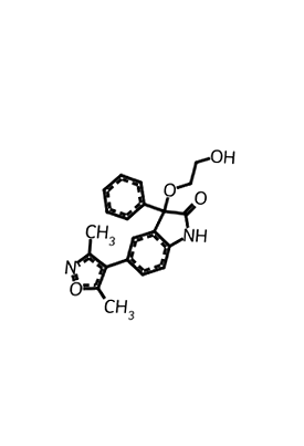 Cc1noc(C)c1-c1ccc2c(c1)C(OCCO)(c1ccccc1)C(=O)N2